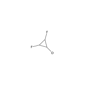 [O]C1C(F)C1F